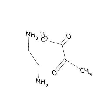 CC(=O)C(C)=O.NCCN